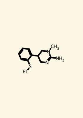 CCSc1ccccc1C1CN=C(N)N(C)C1